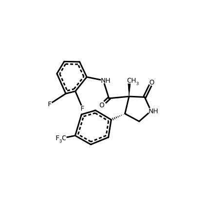 C[C@@]1(C(=O)Nc2cccc(F)c2F)C(=O)NC[C@@H]1c1ccc(C(F)(F)F)cc1